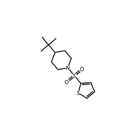 CC(C)(C)C1CCN(S(=O)(=O)c2cccs2)CC1